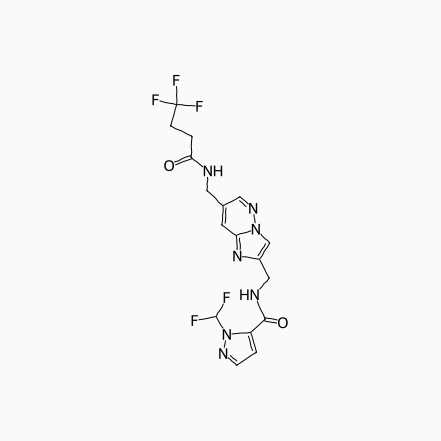 O=C(CCC(F)(F)F)NCc1cnn2cc(CNC(=O)c3ccnn3C(F)F)nc2c1